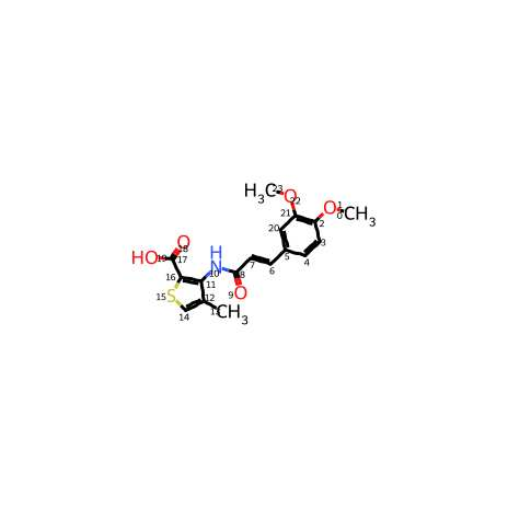 COc1ccc(C=CC(=O)Nc2c(C)csc2C(=O)O)cc1OC